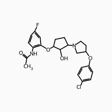 CC(=O)Nc1ccc(F)cc1OC1CCC(N2CCC(Oc3ccc(Cl)cc3)C2)C1O